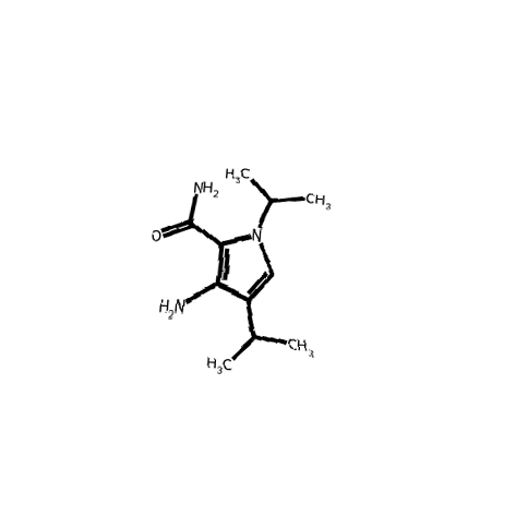 CC(C)c1cn(C(C)C)c(C(N)=O)c1N